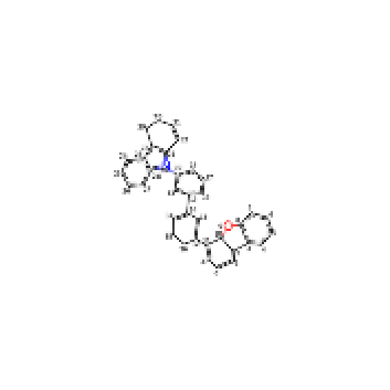 C1=CC2c3ccccc3OC2C(C2=CC(c3cccc(-n4c5c(c6ccccc64)CCC=C5)c3)=CCC2)=C1